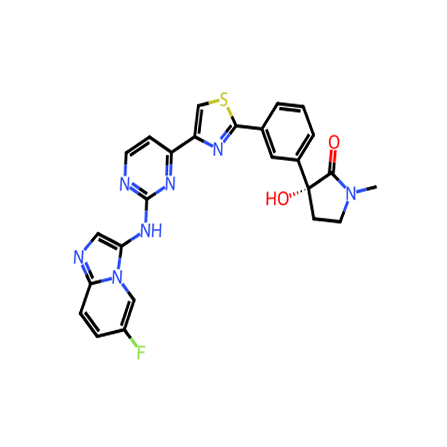 CN1CC[C@@](O)(c2cccc(-c3nc(-c4ccnc(Nc5cnc6ccc(F)cn56)n4)cs3)c2)C1=O